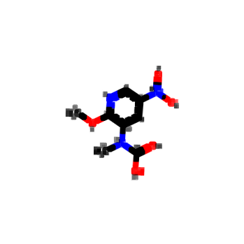 COc1ncc([N+](=O)[O-])cc1N(C)C(=O)O